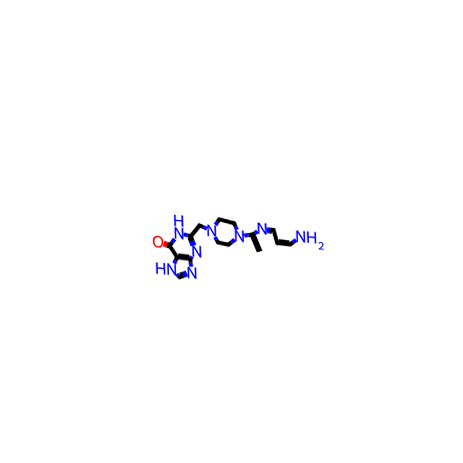 C=C(/N=C\C=C/N)N1CCN(Cc2nc3nc[nH]c3c(=O)[nH]2)CC1